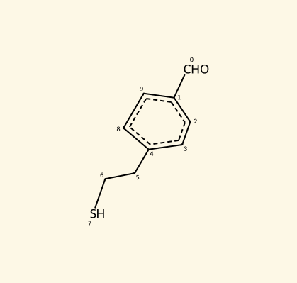 O=Cc1ccc(CCS)cc1